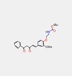 COc1cc(/C=C/C(=O)CC(=O)c2ccccc2)ccc1OCCNC(=O)OC(C)(C)C